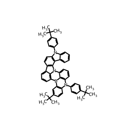 CC(C)(C)c1ccc(N2c3ccc(C(C)(C)C)cc3B3c4c2cccc4-n2c4c3cccc4c3ccc4c(c5ccccc5n4-c4ccc(C(C)(C)C)cc4)c32)cc1